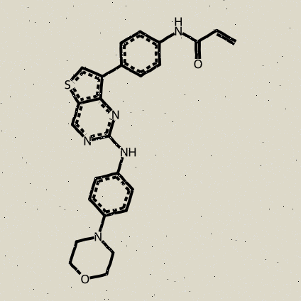 C=CC(=O)Nc1ccc(-c2csc3cnc(Nc4ccc(N5CCOCC5)cc4)nc23)cc1